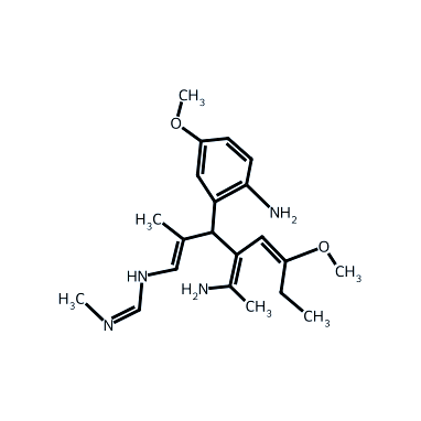 CC/C(=C\C(=C(/C)N)C(/C(C)=C/N/C=N\C)c1cc(OC)ccc1N)OC